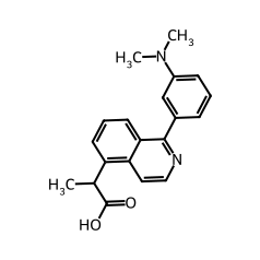 CC(C(=O)O)c1cccc2c(-c3cccc(N(C)C)c3)nccc12